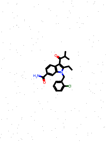 CCc1c(C(=O)C(C)C)c2ccc(C(N)=O)cc2n1Cc1ccccc1Cl